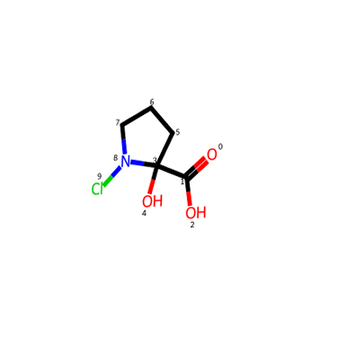 O=C(O)C1(O)CCCN1Cl